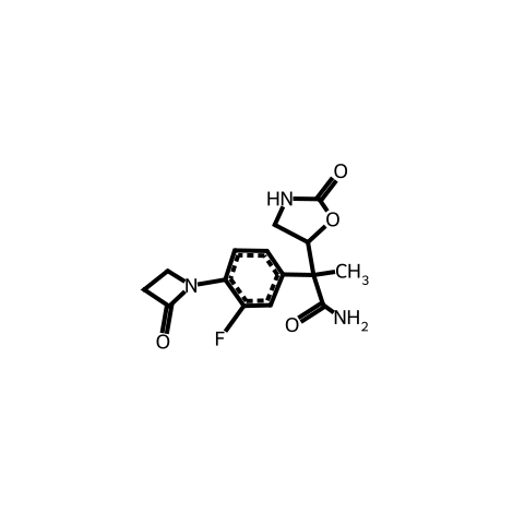 CC(C(N)=O)(c1ccc(N2CCC2=O)c(F)c1)C1CNC(=O)O1